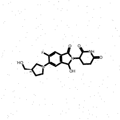 O=C1CCC(N2C(=O)c3cc(F)c(N4CC[C@@H](CO)C4)cc3C2O)C(=O)N1